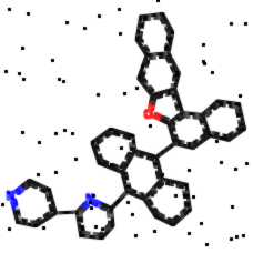 c1cc(-c2ccncc2)nc(-c2c3ccccc3c(-c3cc4ccccc4c4c3oc3cc5ccccc5cc34)c3ccccc23)c1